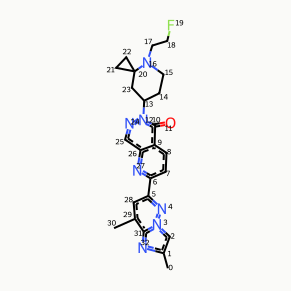 Cc1cn2nc(-c3ccc4c(=O)n(C5CCN(CCF)C6(CC6)C5)ncc4n3)cc(C)c2n1